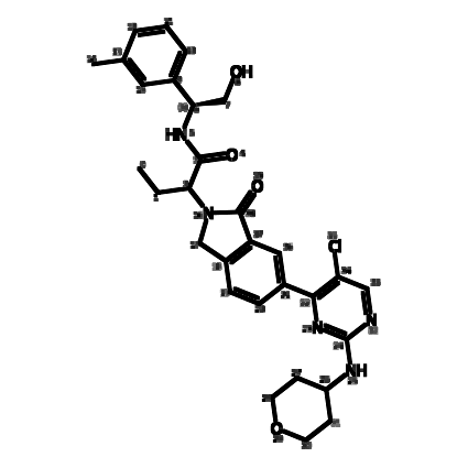 CCC(C(=O)N[C@H](CO)c1cccc(C)c1)N1Cc2ccc(-c3nc(NC4CCOCC4)ncc3Cl)cc2C1=O